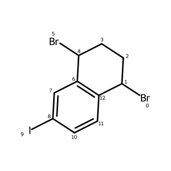 BrC1CCC(Br)c2cc(I)ccc21